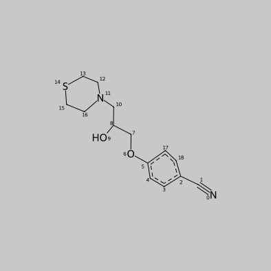 N#Cc1ccc(OCC(O)CN2CCSCC2)cc1